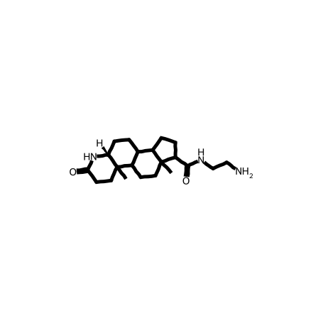 CC12CCC3C(CC[C@H]4NC(=O)CCC34C)C1CCC2C(=O)NCCN